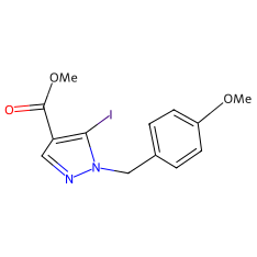 COC(=O)c1cnn(Cc2ccc(OC)cc2)c1I